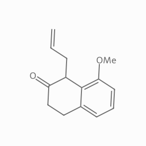 C=CCC1C(=O)CCc2cccc(OC)c21